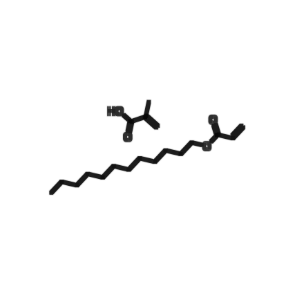 C=C(C)C(=O)O.C=CC(=O)OCCCCCCCCCCCC